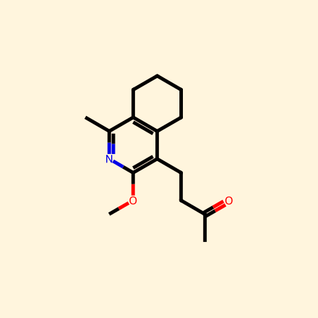 COc1nc(C)c2c(c1CCC(C)=O)CCCC2